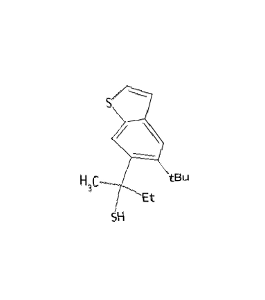 CCC(C)(S)c1cc2sccc2cc1C(C)(C)C